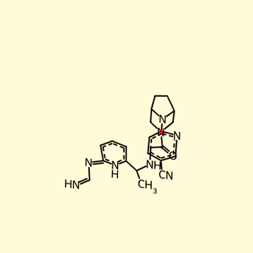 CC(NCC(=O)N1CC2CCC(C1)N2c1ccc(C#N)cn1)c1ccc/c(=N/C=N)[nH]1